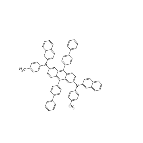 Cc1ccc(N(C2=CC=C3C=CC=CC3C2)c2ccc3c(-c4ccc(-c5ccccc5)cc4)c4cc(N(c5ccc(C)cc5)c5ccc6ccccc6c5)ccc4c(-c4ccc(-c5ccccc5)cc4)c3c2)cc1